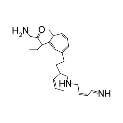 C/C=C\C(CCC1=CC=CC(C)C(C(CC)C(=O)CN)=C1)CNC/C=C\C=N